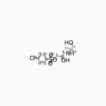 CC(C)(CO)NC[C@H](O)COS(=O)(=O)c1ccc(Cl)cc1